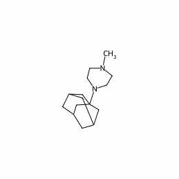 CN1CCN(C23CC4CC(CC(C4)C2)C3)CC1